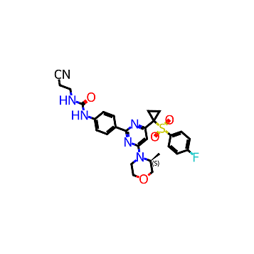 C[C@H]1COCCN1c1cc(C2(S(=O)(=O)c3ccc(F)cc3)CC2)nc(-c2ccc(NC(=O)NCCC#N)cc2)n1